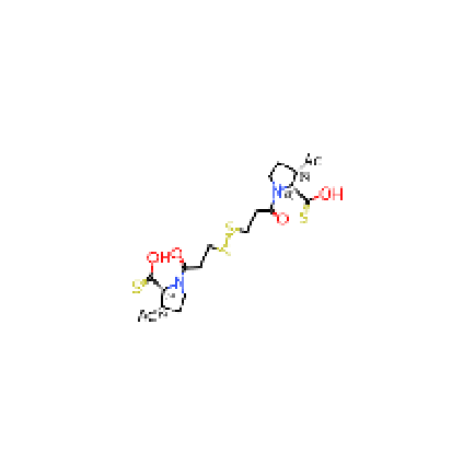 CC(=O)[C@H]1CCN(C(=O)CCSSCCC(=O)N2CC[C@H](C(C)=O)[C@H]2C(O)=S)[C@@H]1C(O)=S